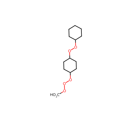 O=C(O)OOOC1CCC(OOC2CCCCC2)CC1